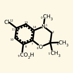 CN1CC(C)(C)Oc2c(C(=O)O)cc(Cl)cc21